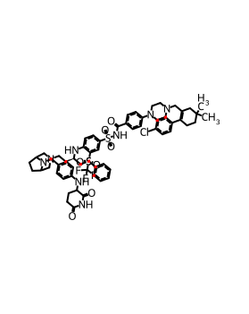 CC1(C)CCC(c2ccc(Cl)cc2)=C(CN2CCN(c3ccc(C(=O)NS(=O)(=O)c4ccc(N[C@H](CCN5CC6CCC(C5)N6Cc5ccc(NC6CCC(=O)NC6=O)cc5)CSc5ccccc5)c(S(=O)(=O)C(F)(F)F)c4)cc3)CC2)C1